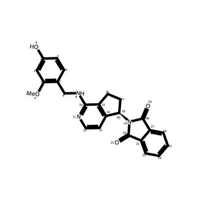 COc1cc(O)ccc1CNc1nccc2c1CC[C@H]2N1C(=O)c2ccccc2C1=O